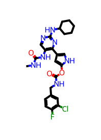 CNC(=O)Nc1cnc(NC2CCCCC2)nc1-c1c[nH]c(OC(=O)NCc2ccc(F)c(Cl)c2)c1